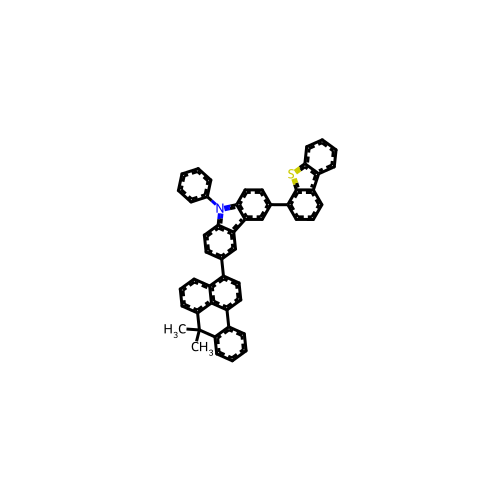 CC1(C)c2ccccc2-c2ccc(-c3ccc4c(c3)c3cc(-c5cccc6c5sc5ccccc56)ccc3n4-c3ccccc3)c3cccc1c23